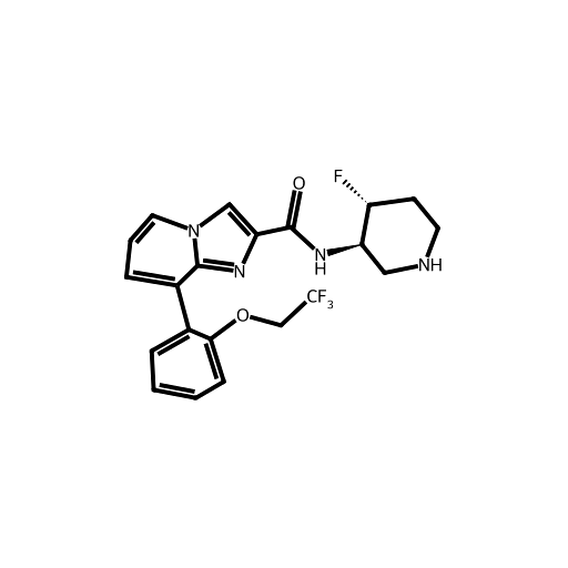 O=C(N[C@@H]1CNCC[C@H]1F)c1cn2cccc(-c3ccccc3OCC(F)(F)F)c2n1